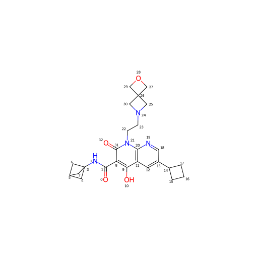 O=C(NC12CC(C1)C2)c1c(O)c2cc(C3CCC3)cnc2n(CCN2CC3(COC3)C2)c1=O